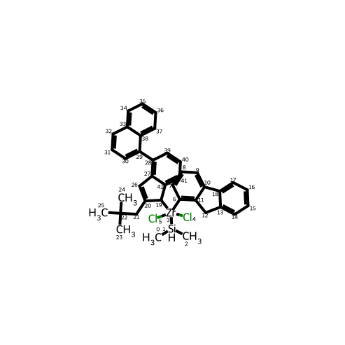 C[SiH](C)[Zr]([Cl])([Cl])([c]1cccc2c1Cc1ccccc1-2)[CH]1C(CC(C)(C)C)=Cc2c(-c3cccc4ccccc34)cccc21